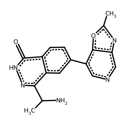 Cc1nc2cncc(-c3ccc4c(=O)[nH]nc(C(C)N)c4c3)c2o1